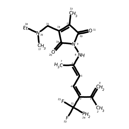 C=C(C)/C(=C\C=C(/C)NN1C(=O)C(C)=C(CN(C)CC)C1=O)C(F)(F)P